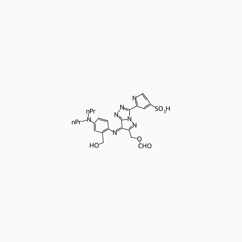 CCCN(CCC)c1ccc(/N=C2/C(COC=O)=Nn3c2nnc3-c2cc(S(=O)(=O)O)ccn2)c(CO)c1